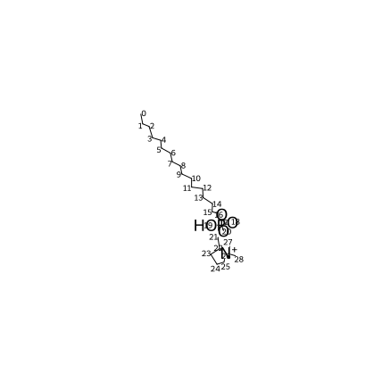 CCCCCCCCCCCCCCCCOP(=O)(O)OCC1CCC[N+]1(C)C